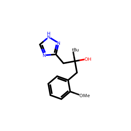 COc1ccccc1CC(O)(Cc1nc[nH]n1)C(C)(C)C